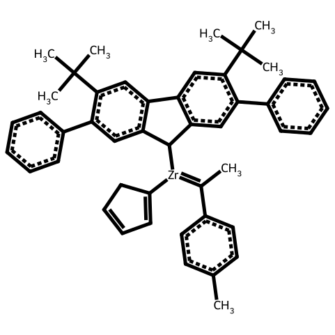 C[C](c1ccc(C)cc1)=[Zr]([C]1=CC=CC1)[CH]1c2cc(-c3ccccc3)c(C(C)(C)C)cc2-c2cc(C(C)(C)C)c(-c3ccccc3)cc21